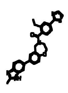 CCc1cc(-c2nccs2)ccc1C(=O)N1CCOc2ccc(-c3ccc4nc(C)[nH]c4c3)cc2C1